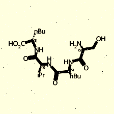 CCCC[C@H](NC(=O)[C@@H](NC(=O)[C@H](CCCC)NC(=O)[C@@H](N)CO)C(C)C)C(=O)O